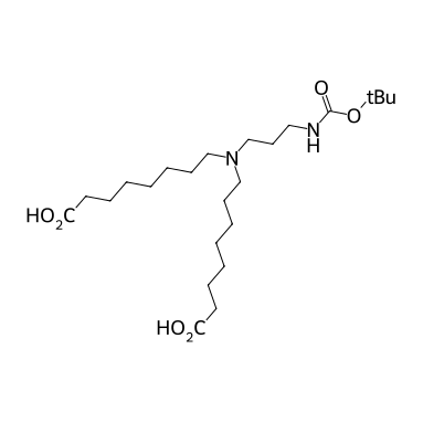 CC(C)(C)OC(=O)NCCCN(CCCCCCCC(=O)O)CCCCCCCC(=O)O